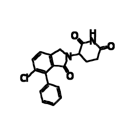 O=C1CCC(N2Cc3ccc(Cl)c(-c4ccccc4)c3C2=O)C(=O)N1